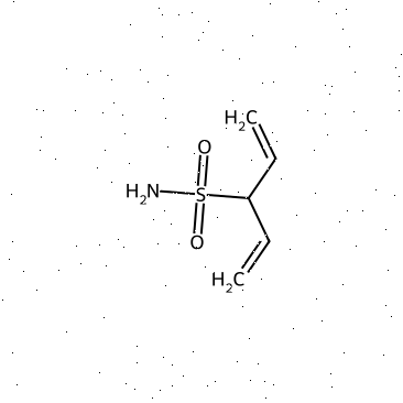 C=CC(C=C)S(N)(=O)=O